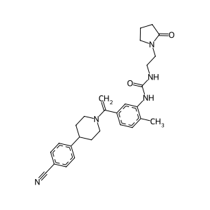 C=C(c1ccc(C)c(NC(=O)NCCN2CCCC2=O)c1)N1CCC(c2ccc(C#N)cc2)CC1